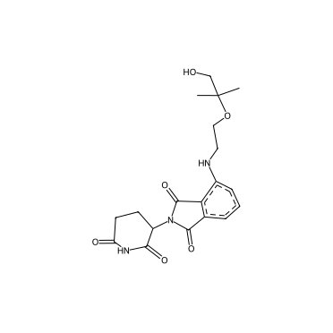 CC(C)(CO)OCCNc1cccc2c1C(=O)N(C1CCC(=O)NC1=O)C2=O